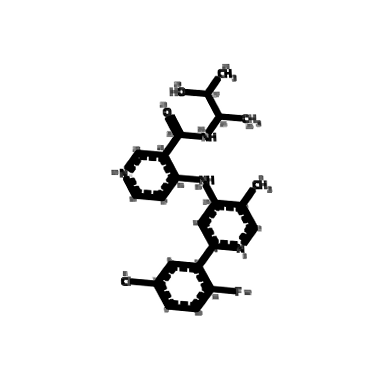 Cc1cnc(-c2cc(Cl)ccc2F)cc1Nc1ccncc1C(=O)NC(C)C(C)O